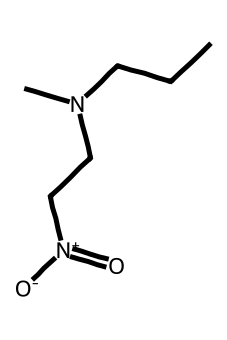 CCCN(C)CC[N+](=O)[O-]